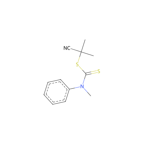 CN(C(=S)SC(C)(C)C#N)c1ccccc1